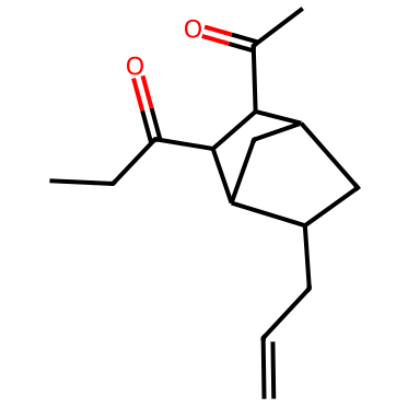 C=CCC1CC2CC1C(C(=O)CC)C2C(C)=O